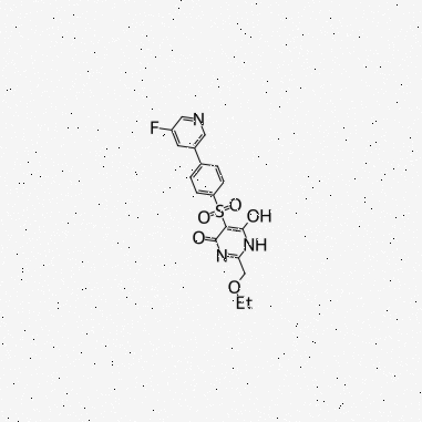 CCOCc1nc(=O)c(S(=O)(=O)c2ccc(-c3cncc(F)c3)cc2)c(O)[nH]1